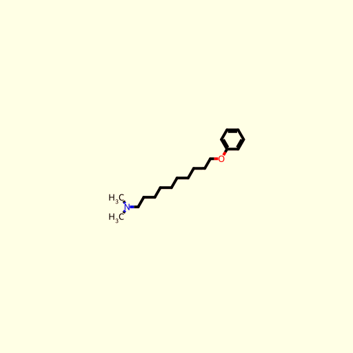 CN(C)CCCCCCCCCCOc1ccccc1